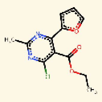 CCOC(=O)c1c(Cl)nc(C)nc1-c1ccco1